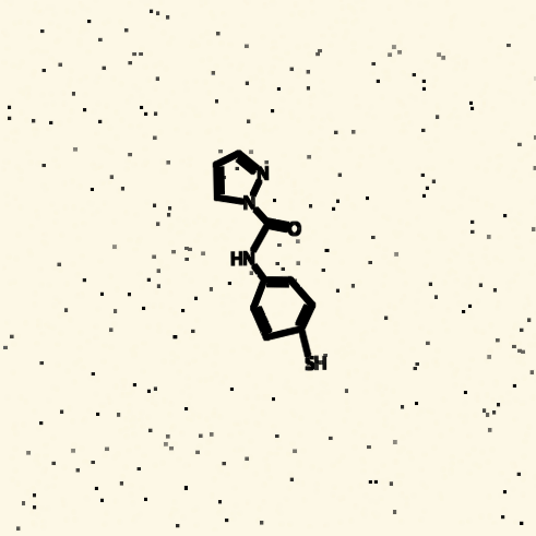 O=C(Nc1ccc(S)cc1)n1cccn1